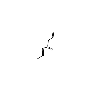 C=CCS(=S)C=CC